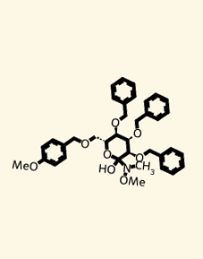 COc1ccc(COC[C@H]2OC(O)(N(C)OC)[C@H](OCc3ccccc3)[C@@H](OCc3ccccc3)[C@@H]2OCc2ccccc2)cc1